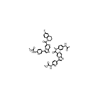 COC(=O)Nc1ccc(-c2cnc3cnc(C(=O)N(C)c4ccc(NC(C)=O)cc4)cn23)cn1.COC(=O)Nc1ccc(-c2cnc3cnc(C(=O)N4CCCc5cc(F)ccc54)cn23)cn1